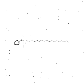 CCCCCCCCCCCCCCCCCCNC(=O)c1c[c]ccc1